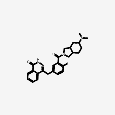 CN(C)C1CCC2CN(C(=O)c3cc(Cc4n[nH]c(=O)c5ccccc45)ccc3F)CC2C1